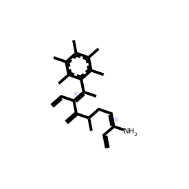 C=C/C(N)=C\CC(C)C(=C)/C(C=C)=C(\C)c1c(C)c(C)c(C)c(C)c1C